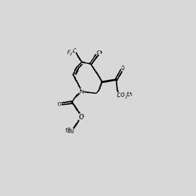 CCOC(=O)C(=O)C1CN(C(=O)OC(C)(C)C)C=C(C(F)(F)F)C1=O